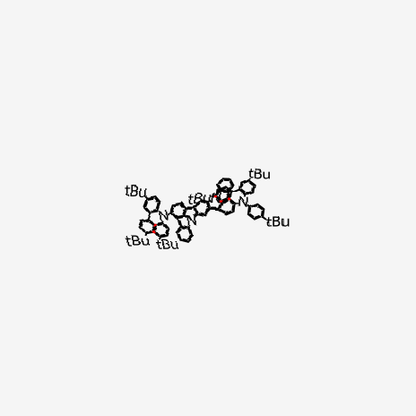 CC(C)(C)c1ccc(-c2cc(C(C)(C)C)ccc2N(c2ccc(C(C)(C)C)cc2)c2ccc3c4cc5c(cc4n4c6ccccc6c2c34)c2ccc(N(c3ccc(C(C)(C)C)cc3)c3ccc(C(C)(C)C)cc3-c3ccc(C(C)(C)C)cc3)c3c4ccccc4n5c23)cc1